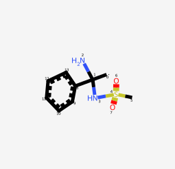 [CH2]C(N)(NS(C)(=O)=O)c1ccccc1